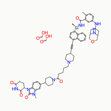 Cc1ccc(NC2CC3COCC(C2)N3)cc1C(=O)N[C@H](C)c1ccc(C#CC2CCN(CCCCC(=O)N3CCC(c4ccc5c(c4)n(C)c(=O)n5C4CCC(=O)NC4=O)CC3)CC2)c2ccccc12.O=CO.O=CO